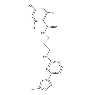 Cc1csc(-c2ccnc(NCCCNC(=O)c3c(Cl)cc(Cl)cc3Cl)n2)c1